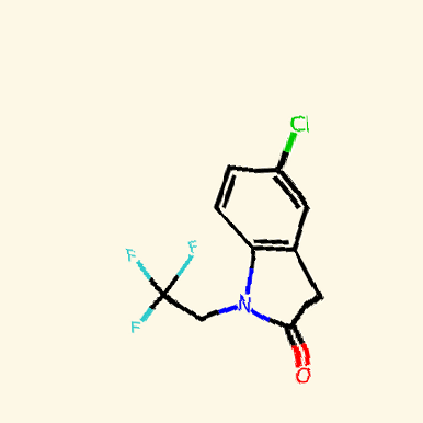 O=C1Cc2cc(Cl)ccc2N1CC(F)(F)F